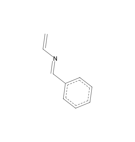 C=CN=Cc1ccccc1